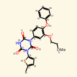 COCCOc1cc(-n2c(=O)[nH]c(=O)n(-c3ccc(C)s3)c2=O)ccc1Oc1ccccc1